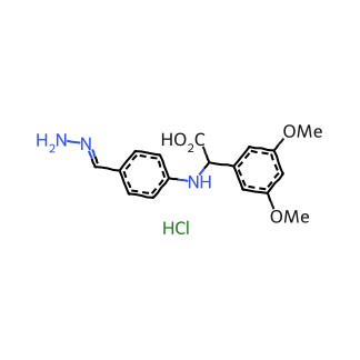 COc1cc(OC)cc(C(Nc2ccc(C=NN)cc2)C(=O)O)c1.Cl